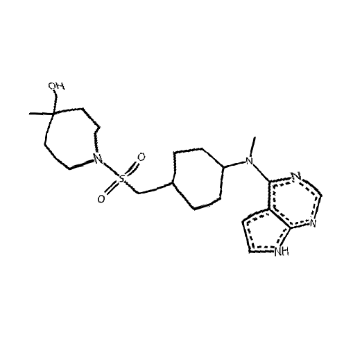 CN(c1ncnc2[nH]ccc12)C1CCC(CS(=O)(=O)N2CCC(C)(O)CC2)CC1